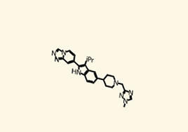 CC(C)c1c(-c2ccn3cnnc3c2)[nH]c2ccc(C3CCN(Cc4ncn(C)n4)CC3)cc12